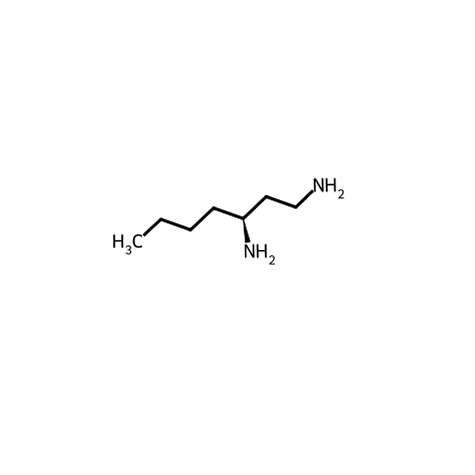 CCCC[C@H](N)CCN